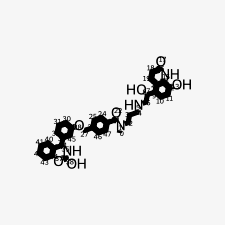 CN(CCCNCC(O)c1ccc(O)c2[nH]c(=O)ccc12)C(=O)c1ccc(COc2cccc(C(NC(=O)O)c3ccccc3)c2)cc1